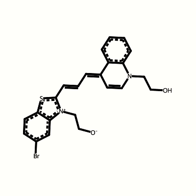 [O-]CC[n+]1c(/C=C/C=C2\C=CN(CCO)c3ccccc32)sc2ccc(Br)cc21